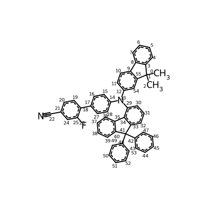 CC1(C)c2ccccc2-c2ccc(N(c3ccc(-c4ccc(C#N)cc4F)cc3)c3cccc4c3-c3ccccc3C4(c3ccccc3)c3ccccc3)cc21